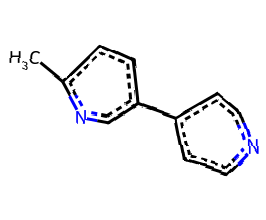 Cc1ccc(-c2ccncc2)cn1